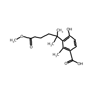 COC(=O)CCCC(C)(C)c1c(O)ccc(C(=O)O)c1C